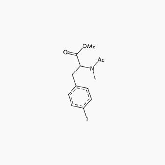 COC(=O)C(Cc1ccc(I)cc1)N(C)C(C)=O